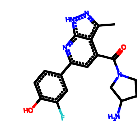 Cc1n[nH]c2nc(-c3ccc(O)c(F)c3)cc(C(=O)N3CCC(N)C3)c12